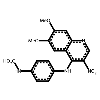 COc1cc2ncc([N+](=O)[O-])c(Nc3ccc(NC(=O)O)cc3)c2cc1OC